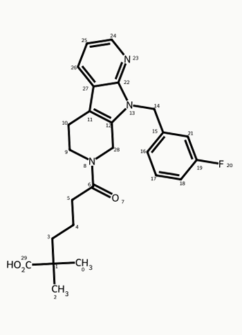 CC(C)(CCCC(=O)N1CCc2c(n(Cc3cccc(F)c3)c3ncccc23)C1)C(=O)O